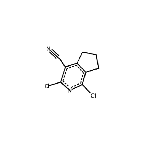 N#Cc1c(Cl)nc(Cl)c2c1CCC2